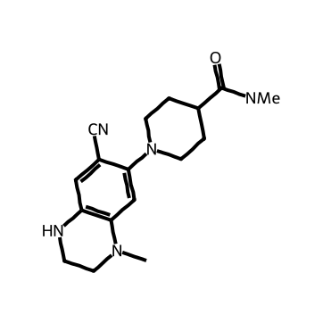 CNC(=O)C1CCN(c2cc3c(cc2C#N)NCCN3C)CC1